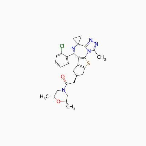 Cc1nnc2n1-c1sc3c(c1C(c1ccccc1Cl)=NC21CC1)C[C@H](CC(=O)N1C[C@@H](C)O[C@H](C)C1)C3